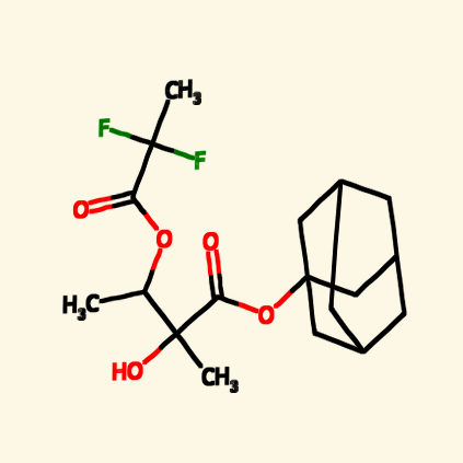 CC(OC(=O)C(C)(F)F)C(C)(O)C(=O)OC12CC3CC(CC(C3)C1)C2